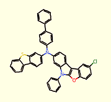 Clc1ccc2oc3c(c2c1)c1ccc(N(c2ccc(-c4ccccc4)cc2)c2ccc4c(c2)sc2ccccc24)cc1n3-c1ccccc1